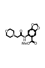 COC(=O)c1cc2c(cc1NC(=O)CN1CCOCC1)OCO2